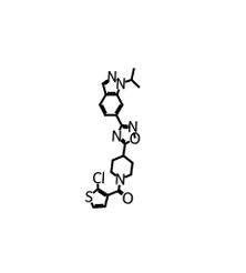 CC(C)n1ncc2ccc(-c3noc(C4CCN(C(=O)c5ccsc5Cl)CC4)n3)cc21